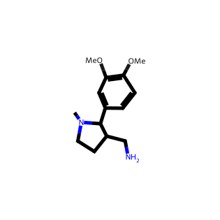 COc1ccc(C2C(CN)CCN2C)cc1OC